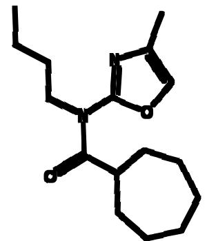 CCCCN(C(=O)C1CCCCCC1)c1nc(C)co1